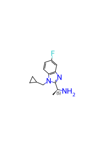 C[C@H](N)c1nc2cc(F)ccc2n1CC1CC1